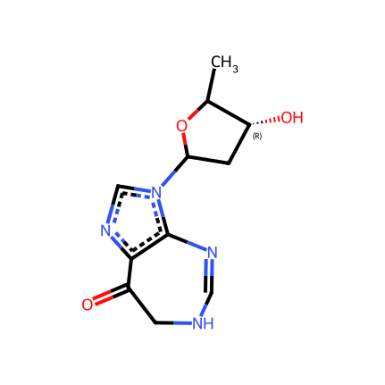 CC1OC(n2cnc3c2N=CNCC3=O)C[C@H]1O